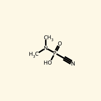 CN(C)P(=O)(O)C#N